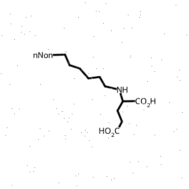 CCCCCCCCCCCCCCCNC(CCC(=O)O)C(=O)O